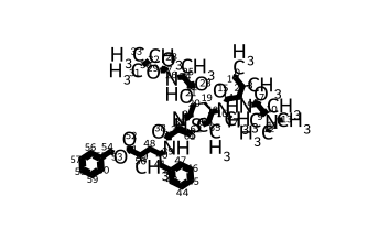 CC[C@H](C)[C@H](NC(=O)C(C)(C)N(C)C)C(=O)N(C)[C@H](C[C@@H](OC(=O)[C@H](C)NC(=O)OC(C)(C)C)c1nc(C(=O)N[C@@H](Cc2ccccc2)C[C@H](C)C(=O)OCc2ccccc2)cs1)C(C)C